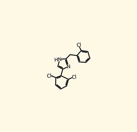 Clc1ccccc1Cc1nc(-c2c(Cl)cccc2Cl)c[nH]1